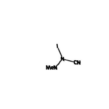 CNN(I)C#N